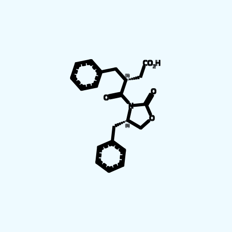 O=C(O)C[C@@H](Cc1ccccc1)C(=O)N1C(=O)OC[C@@H]1Cc1ccccc1